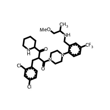 COCC(C)NCc1cc(C(F)(F)F)ccc1N1CCN(C(=O)C(Cc2ccc(Cl)cc2Cl)C(=O)C2CCCCN2)CC1